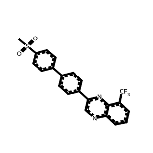 CS(=O)(=O)c1ccc(-c2ccc(-c3cnc4cccc(C(F)(F)F)c4n3)cc2)cc1